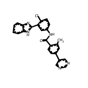 Cc1cc(-c2cncnc2)ccc1C(=O)Nc1ccc(Cl)c(-c2nc3ccccc3[nH]2)c1